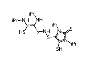 CC(C)N/C(S)=C(\NC(C)C)SNSc1c(S)n(C(C)C)c(=S)n1C(C)C